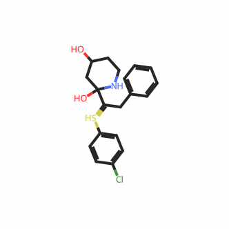 OC1CCNC(O)(/C(Cc2ccccc2)=[SH]/c2ccc(Cl)cc2)C1